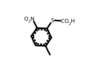 Cc1ccc([N+](=O)[O-])c(SC(=O)O)c1